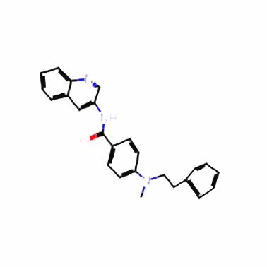 CN(CCc1ccccc1)c1ccc(C(=O)Nc2cnc3ccccc3c2)cc1